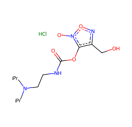 CC(C)N(CCNC(=O)Oc1c(CO)no[n+]1[O-])C(C)C.Cl